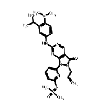 C=CCn1c(=O)c2cnc(Nc3ccc(N(C)C)c(C(O)C(F)(F)F)c3)nc2n1-c1cccc(N=S(C)(C)=O)n1